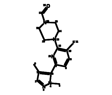 Cc1cnn(C)c1-c1ccc(F)c(N2CCN(C=O)CC2)n1